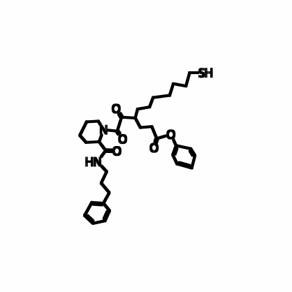 O=C(CCC(CCCCCCCS)C(=O)C(=O)N1CCCCC1C(=O)NCCCc1ccccc1)Oc1ccccc1